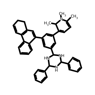 CC1=CC=C(c2cc(-c3cc4c(c5ccccc35)C=CCC4)cc(C3NC(c4ccccc4)NC(c4ccccc4)N3)c2)C(C)N1C